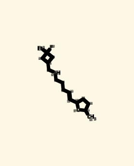 CCC1(F)CC(CNCCC/C=C/C2CCC(C)O2)C1